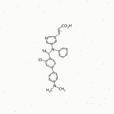 [2H]C(c1ccc(-c2ccc(N(C)C)cc2)cc1Cl)N(c1ccccc1)c1cncc(/C=C/C(=O)O)c1